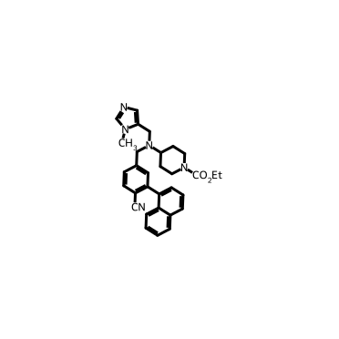 CCOC(=O)N1CCC(N(Cc2ccc(C#N)c(-c3cccc4ccccc34)c2)Cc2cncn2C)CC1